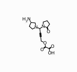 N[C@@H]1CCN(C(C#CCOC(=O)C(=O)O)N2CCCC2=O)C1